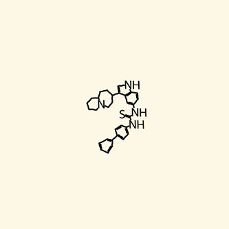 S=C(Nc1ccc(-c2ccccc2)cc1)Nc1ccc2[nH]cc(C3CCC4CCCCN4CC3)c2c1